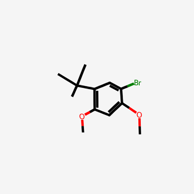 COc1cc(OC)c(C(C)(C)C)cc1Br